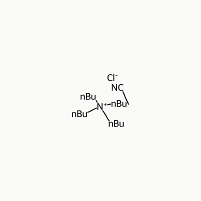 CC#N.CCCC[N+](CCCC)(CCCC)CCCC.[Cl-]